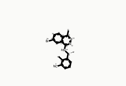 Cc1c(C#N)cccc1[C@@H](C)Nc1nnc(C)c2ccc(Br)cc12